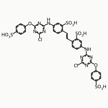 O=S(=O)(O)c1ccc(Oc2nc(Cl)nc(Nc3ccc(C=Cc4ccc(Nc5nc(Cl)nc(Oc6ccc(S(=O)(=O)O)cc6)n5)cc4S(=O)(=O)O)c(S(=O)(=O)O)c3)n2)cc1